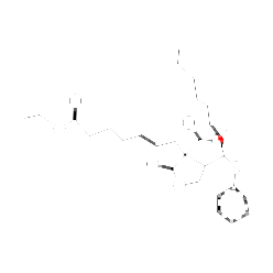 CCCCC/C=C/C(Sc1ccccc1)C1COC(=O)C1(CC=CCCCC(=O)OCC)C(=O)OC